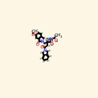 COc1ccc2c(c1)C(=O)N(CC(C)(CC(=O)N1Cc3ccccc3C1)C(=O)NC(C)=O)C2